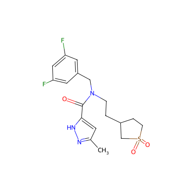 Cc1cc(C(=O)N(CCC2CCS(=O)(=O)C2)Cc2cc(F)cc(F)c2)[nH]n1